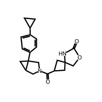 O=C1NC2(CO1)CC(C(=O)N1CC3CC3(c3ccc(C4CC4)cc3)C1)C2